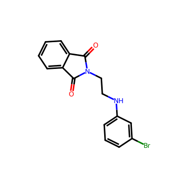 O=C1c2ccccc2C(=O)N1CCNc1cccc(Br)c1